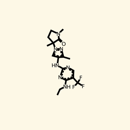 CCNc1nc(Nc2cn(C3(C)CCN(C)C3=O)nc2C)ncc1C(F)(F)F